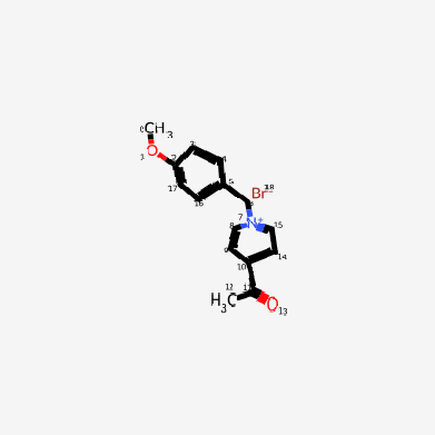 COc1ccc(C[n+]2ccc(C(C)=O)cc2)cc1.[Br-]